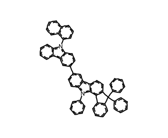 c1ccc(-n2c3ccc(-c4ccc5c(c4)c4ccccc4n5-c4cccc5ccccc45)cc3c3ccc4c(c32)-c2ccccc2C4(c2ccccc2)c2ccccc2)cc1